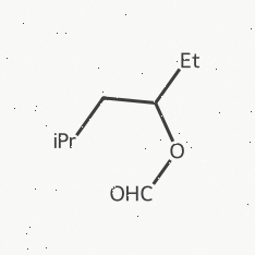 CCC(CC(C)C)OC=O